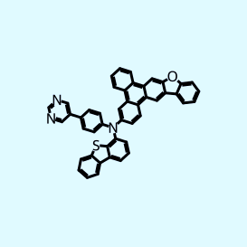 c1ccc2c(c1)oc1cc3c4ccccc4c4cc(N(c5ccc(-c6cncnc6)cc5)c5cccc6c5sc5ccccc56)ccc4c3cc12